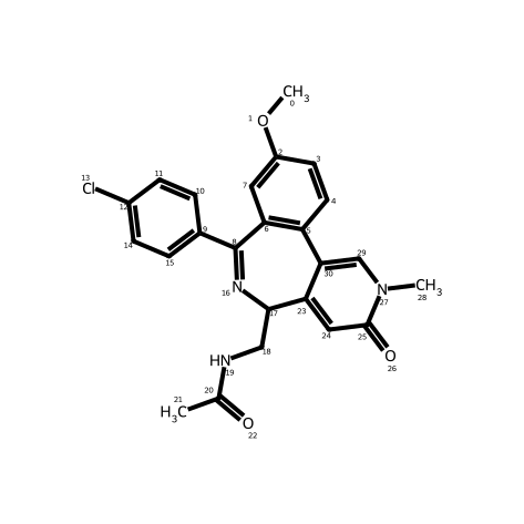 COc1ccc2c(c1)C(c1ccc(Cl)cc1)=NC(CNC(C)=O)c1cc(=O)n(C)cc1-2